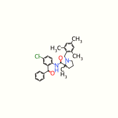 Cc1cc(C)c(CN2CCC[C@]2(C)C(=O)Nc2ccc(Cl)cc2C(=O)c2ccccc2)c(C)c1